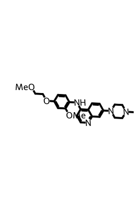 COCCOc1ccc(Nc2ccnc3cc(N4CCN(C)CC4)ccc23)c(OC)c1